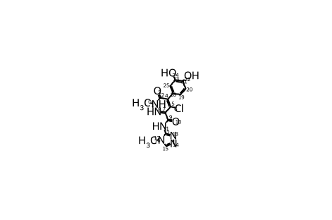 CNC(=O)/C(=C(/Cl)C(=N)C(=O)Nc1nncn1C)c1ccc(O)c(O)c1